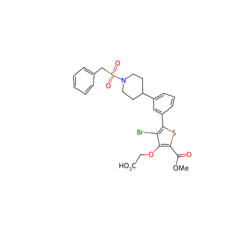 COC(=O)c1sc(-c2cccc(C3CCN(S(=O)(=O)Cc4ccccc4)CC3)c2)c(Br)c1OCC(=O)O